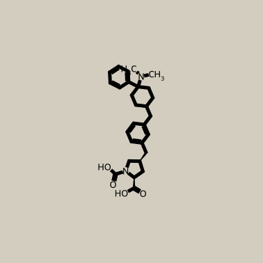 CN(C)C1(c2ccccc2)CCC(Cc2cccc(C[C@H]3C[C@@H](C(=O)O)N(C(=O)O)C3)c2)CC1